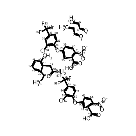 C=CC=O.C=CC=O.CCc1cccc(C)c1CC(N)=O.O=C(O)c1cc(Oc2ccc(C(F)(F)F)cc2Cl)ccc1[N+](=O)[O-].O=C(O)c1cc(Oc2ccc(C(F)(F)F)cc2Cl)ccc1[N+](=O)[O-]